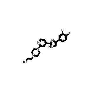 OCCN1CCN(c2cc(-c3nc(-c4ccc(F)c(Cl)c4)c[nH]3)ccn2)CC1